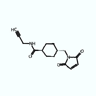 C#CCNC(=O)[C@H]1CC[C@H](CN2C(=O)C=CC2=O)CC1